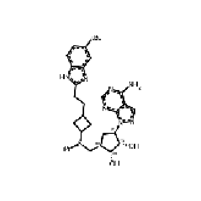 CC(C)N(C[C@H]1C[C@@H](n2ncc3c(N)ncnc32)[C@H](O)[C@@H]1O)C1CC(CCc2nc3cc(C(C)(C)C)ccc3[nH]2)C1